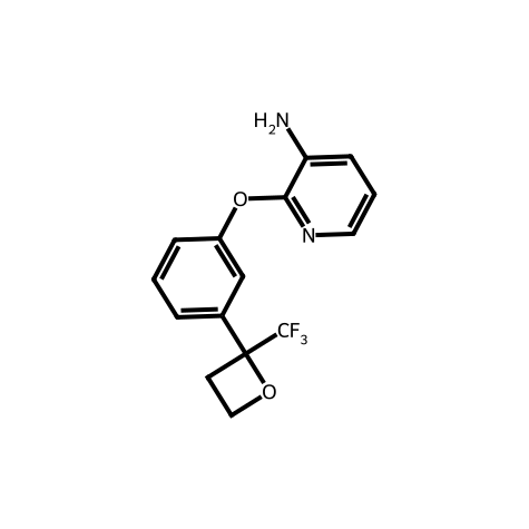 Nc1cccnc1Oc1cccc(C2(C(F)(F)F)CCO2)c1